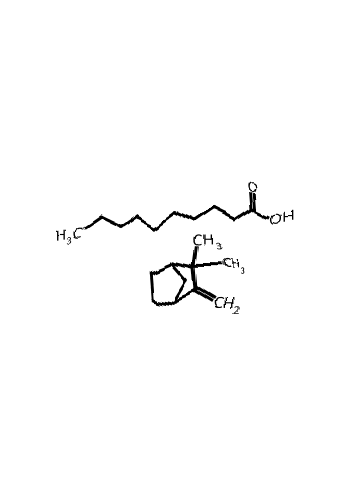 C=C1C2CCC(C2)C1(C)C.CCCCCCCCCC(=O)O